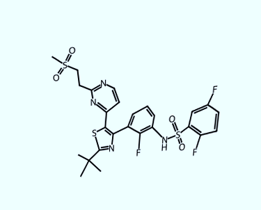 CC(C)(C)c1nc(-c2cccc(NS(=O)(=O)c3cc(F)ccc3F)c2F)c(-c2ccnc(CCS(C)(=O)=O)n2)s1